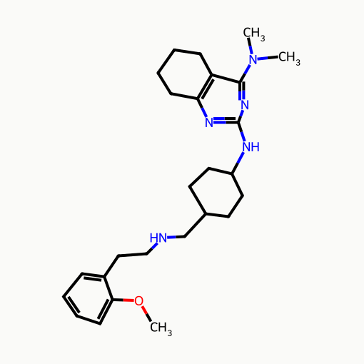 COc1ccccc1CCNCC1CCC(Nc2nc3c(c(N(C)C)n2)CCCC3)CC1